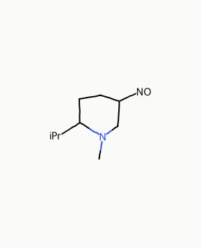 CC(C)C1CCC(N=O)CN1C